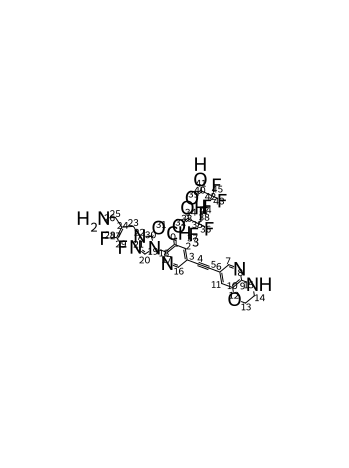 Cc1cc(C#Cc2cnc3c(c2)OCCN3)cnc1-n1cnn(CC(CN)=C(F)F)c1=O.O=C(O)C(F)(F)F.O=C(O)C(F)(F)F